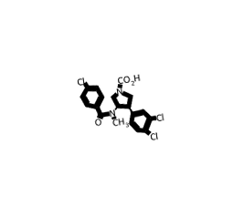 CN(C(=O)c1ccc(Cl)cc1)[C@@H]1CN(C(=O)O)C[C@H]1c1ccc(Cl)c(Cl)c1